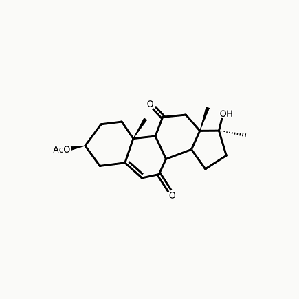 CC(=O)O[C@H]1CC[C@@]2(C)C(=CC(=O)C3C2C(=O)C[C@@]2(C)C3CC[C@]2(C)O)C1